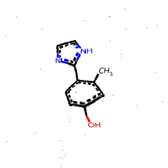 Cc1cc(O)ccc1-c1ncc[nH]1